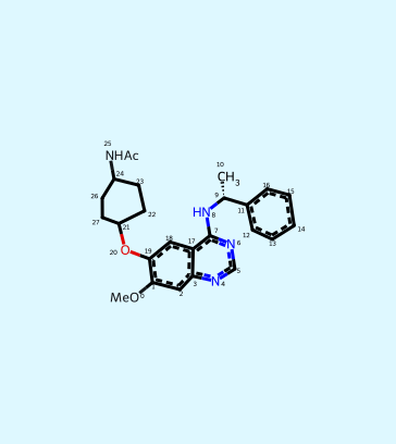 COc1cc2ncnc(N[C@H](C)c3ccccc3)c2cc1OC1CCC(NC(C)=O)CC1